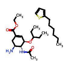 CCCCCCc1cccs1.CCOC(=O)C1=C[C@@H](OC(CC)CC)[C@H](NC(C)=O)[C@@H](N)C1